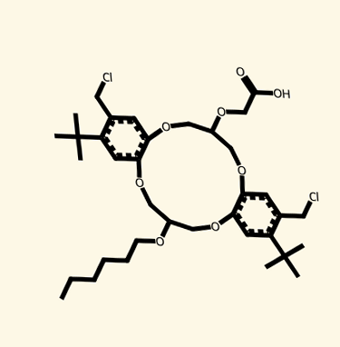 CCCCCCOC1COc2cc(C(C)(C)C)c(CCl)cc2OCC(OCC(=O)O)COc2cc(CCl)c(C(C)(C)C)cc2OC1